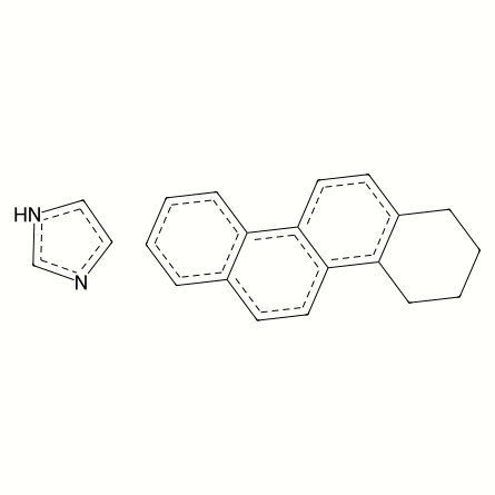 c1c[nH]cn1.c1ccc2c(c1)ccc1c3c(ccc12)CCCC3